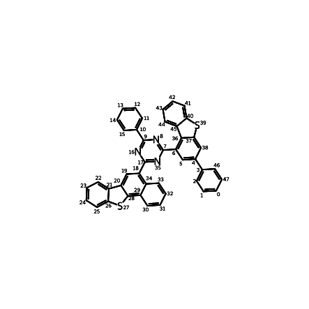 c1ccc(-c2cc(-c3nc(-c4ccccc4)nc(-c4cc5c6ccccc6sc5c5ccccc45)n3)c3c(c2)sc2ccccc23)cc1